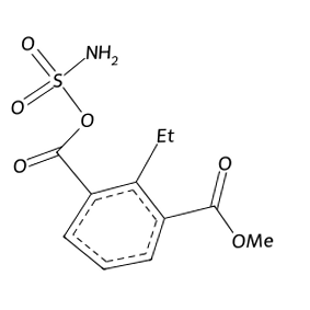 CCc1c(C(=O)OC)cccc1C(=O)OS(N)(=O)=O